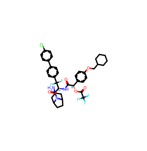 NC1CC2CCC(C1)N2C(=O)[C@H](NC(=O)[C@@H](OC(=O)C(F)(F)F)c1ccc(OCC2CCCCC2)cc1)C(F)(F)c1ccc(-c2ccc(Cl)cc2)cc1